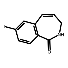 O=C1NCC=Cc2cc(I)ccc21